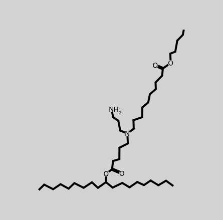 CCCCCCCCCC(CCCCCCCCC)OC(=O)CCCCN(CCCN)CCCCCCCCCC(=O)OCCCCC